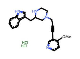 COc1ccncc1C#CCN1CCNC(Cc2c[nH]c3ccccc23)C1.Cl.Cl